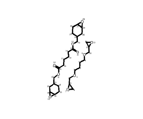 C(CCOCC1CO1)COCC1CO1.O=C(CCCCC(=O)OCC1CCC2OC2C1)OCC1CCC2OC2C1